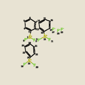 F[S+](F)c1ccccc1.F[S+](F)c1ccccc1.F[S+](F)c1ccccc1.[F-].[F-].[F-]